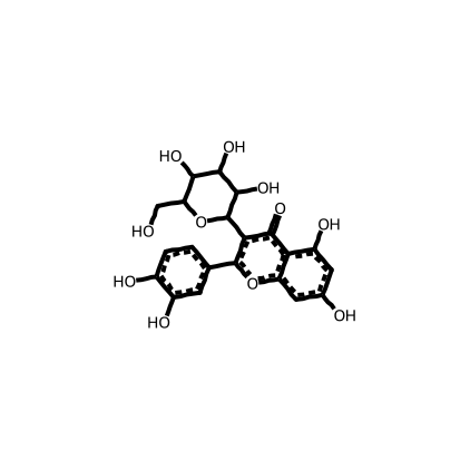 O=c1c(C2OC(CO)C(O)C(O)C2O)c(-c2ccc(O)c(O)c2)oc2cc(O)cc(O)c12